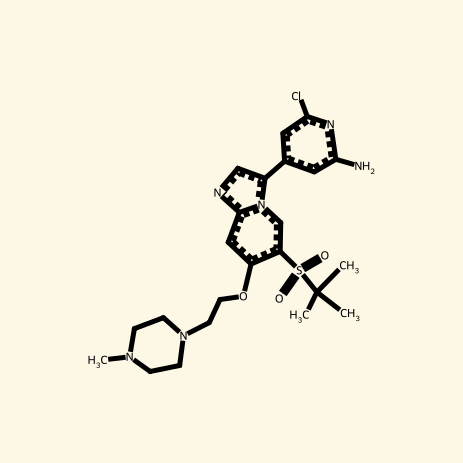 CN1CCN(CCOc2cc3ncc(-c4cc(N)nc(Cl)c4)n3cc2S(=O)(=O)C(C)(C)C)CC1